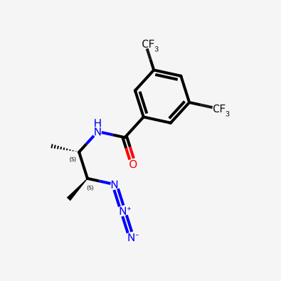 C[C@H](N=[N+]=[N-])[C@H](C)NC(=O)c1cc(C(F)(F)F)cc(C(F)(F)F)c1